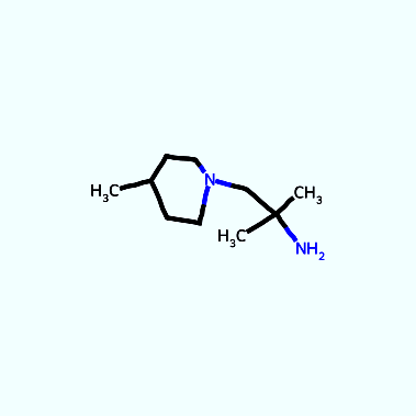 CC1CCN(CC(C)(C)N)CC1